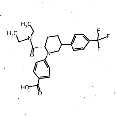 CCN(CC)C(=O)[C@@H]1CCC(c2ccc(C(F)(F)F)cc2)CN1c1ccc(C(=O)O)cc1